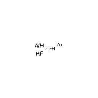 F.F.[AlH3].[Zn]